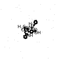 COC(=O)C(Cc1c[nH]c2ccccc12)N(Cc1ccc(C(=O)O)cc1)C(=O)CNC(=O)OCc1ccccc1